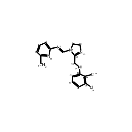 Cc1cccc(N=CN2CCN=C2CNc2cccc(Cl)c2Cl)n1